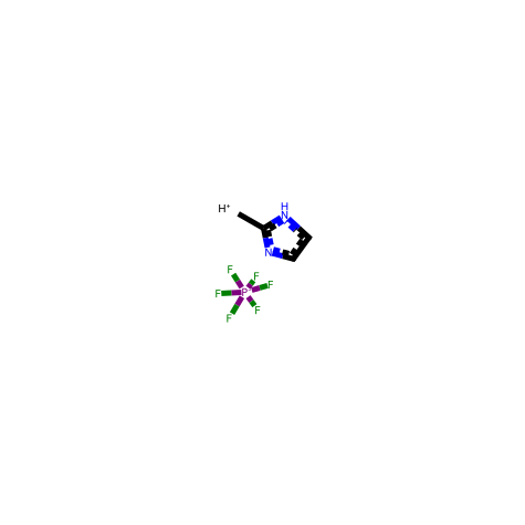 Cc1ncc[nH]1.F[P-](F)(F)(F)(F)F.[H+]